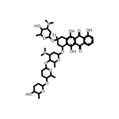 CCC1(OC2CC(N(C)C)C(O)C(C)O2)Cc2c(O)c3c(c(O)c2C(OC2CC(N(C)C)C(OC4CCC(OC5CCC(O)C(C)O5)C(C)O4)C(C)O2)C1)C(=O)c1cccc(O)c1C3=O